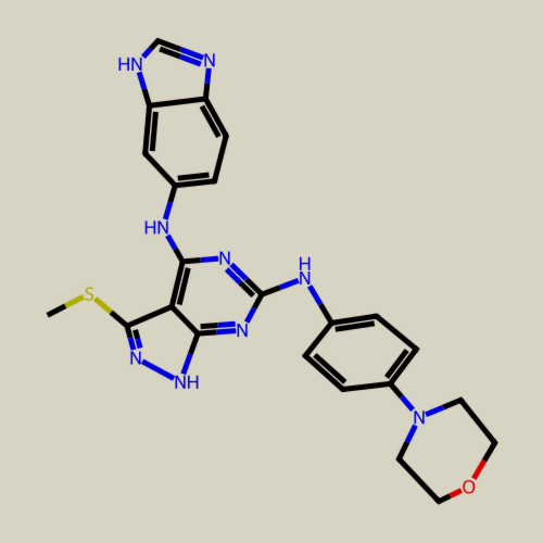 CSc1n[nH]c2nc(Nc3ccc(N4CCOCC4)cc3)nc(Nc3ccc4nc[nH]c4c3)c12